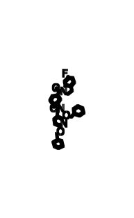 O=C(c1ccc2oc(-c3ccc(OCc4ccccc4)nc3OCc3ccccc3)nc2c1)N1CCc2ccc(F)cc21